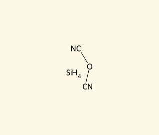 N#COC#N.[SiH4]